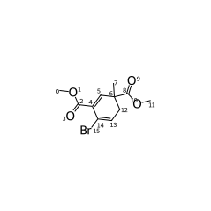 COC(=O)C1=CC(C)(C(=O)OC)CC=C1Br